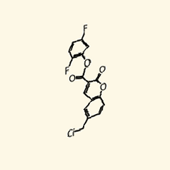 O=C(Oc1cc(F)ccc1F)c1cc2cc(CCl)ccc2oc1=O